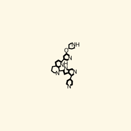 c1cc(-c2cncc3[nH]c(C4=NCCCc5ccc(-c6cncc(OC7CCNCC7)c6)nc54)cc23)ccn1